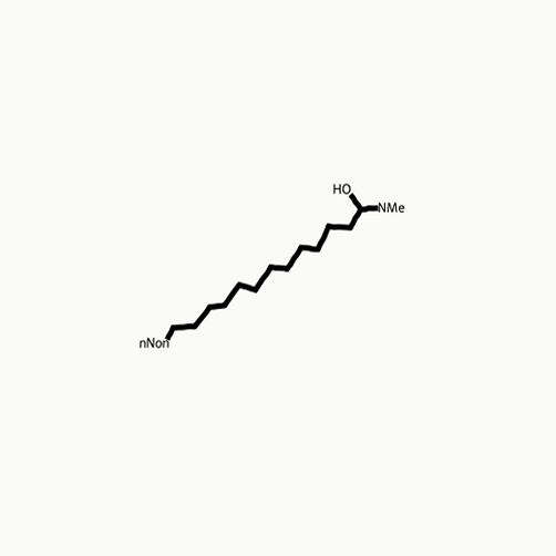 CCCCCCCCCCCCCCCCCCCCCC(O)NC